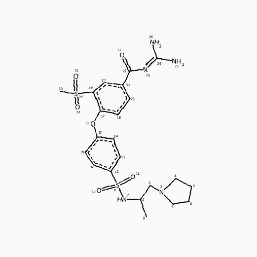 CC(CN1CCCC1)NS(=O)(=O)c1ccc(Oc2ccc(C(=O)N=C(N)N)cc2S(C)(=O)=O)cc1